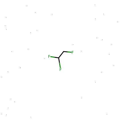 FCC(F)F